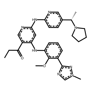 CCC(=O)c1cnc(Nc2ccc([C@H](C)N3CCCC3)cn2)cc1Nc1cccc(-c2ncn(C)n2)c1OC